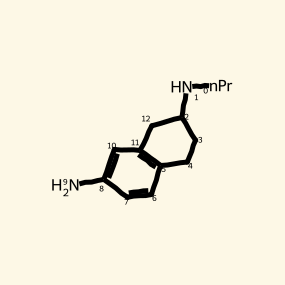 CCCNC1CCc2ccc(N)cc2C1